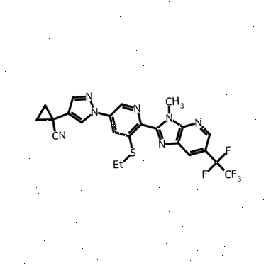 CCSc1cc(-n2cc(C3(C#N)CC3)cn2)cnc1-c1nc2cc(C(F)(F)C(F)(F)F)cnc2n1C